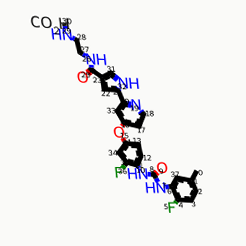 Cc1ccc(F)c(NC(=O)Nc2ccc(Oc3ccnc(-c4cc(C(=O)NCCNC(=O)O)c[nH]4)c3)cc2F)c1